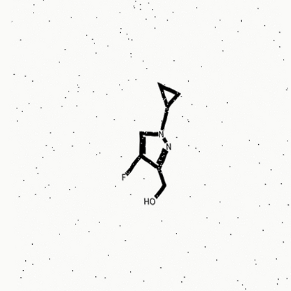 OCc1nn(C2CC2)cc1F